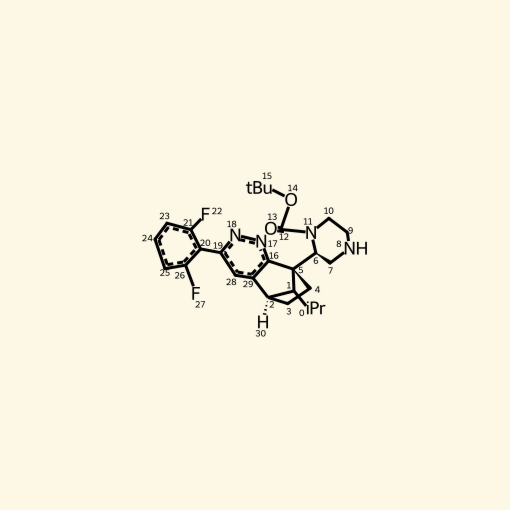 CC(C)C1[C@H]2CC[C@]1([C@@H]1CNCCN1C(=O)OC(C)(C)C)c1nnc(-c3c(F)cccc3F)cc12